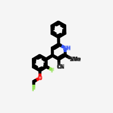 CSC1=C(C#N)C(c2cccc(OCF)c2F)C=C(c2ccccc2)N1